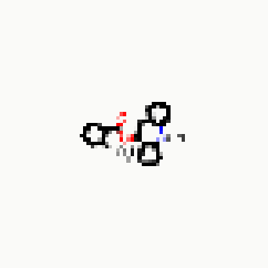 N#CN1c2ccccc2CC(OC(=O)c2ccccc2C(=O)O)c2ccccc21